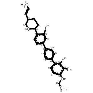 C/C=C/C1CCC(c2ccc(-c3ccc(-c4ccc(OCC)c(F)c4F)cc3)cc2F)OC1